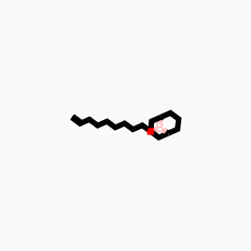 C=CCCCCCCCCB1C2CCCC1CCC2